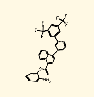 C=C(Sc1ccccc1N)c1ccc(-c2cccc(-c3cc(C(F)(F)F)cc(C(F)(F)F)c3)c2)c2ccccc12